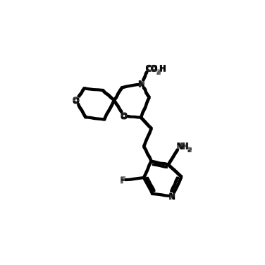 Nc1cncc(F)c1CCC1CN(C(=O)O)CC2(CCOCC2)O1